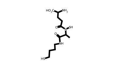 CC(C(=O)NCCCCS)N(S)C(=O)CCC(N)C(=O)O